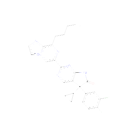 O=C1Nc2nc(-c3cn4ccnc4c(CCCC(F)(F)F)n3)ncc2C1(c1ccc(Cl)c(F)c1)C1CC1